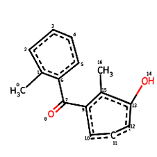 Cc1ccccc1C(=O)c1cccc(O)c1C